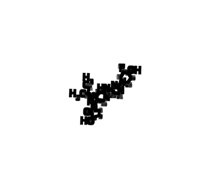 CCC(C)n1nc(N2CC[C@H](O)C2=O)c2cnc(Nc3ccnc(N4CC[C@@H](O)[C@@H](F)C4)n3)cc21